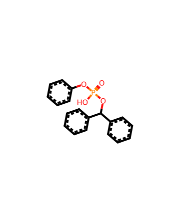 O=P(O)(Oc1ccccc1)OC(c1ccccc1)c1ccccc1